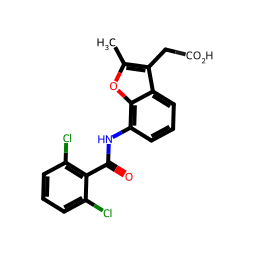 Cc1oc2c(NC(=O)c3c(Cl)cccc3Cl)cccc2c1CC(=O)O